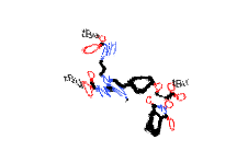 Cn1c(-c2ccc(OC[C@H](ON3C(=O)c4ccccc4C3=O)C(=O)OC(C)(C)C)cc2)cn(CCCNC(=O)OC(C)(C)C)/c1=N\C(=O)OC(C)(C)C